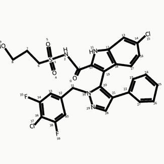 O=C(NS(=O)(=O)CCCO)c1[nH]c2cc(Cl)ccc2c1-c1c(-c2ccccc2)cnn1Cc1cc(F)c(Cl)c(F)c1